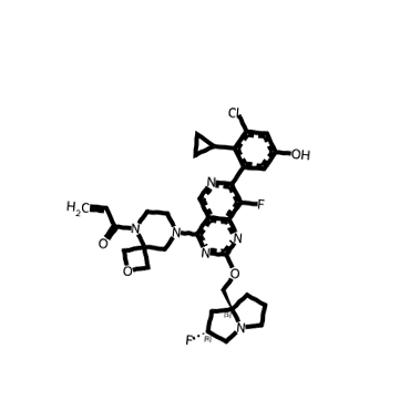 C=CC(=O)N1CCN(c2nc(OC[C@@]34CCCN3C[C@H](F)C4)nc3c(F)c(-c4cc(O)cc(Cl)c4C4CC4)ncc23)CC12COC2